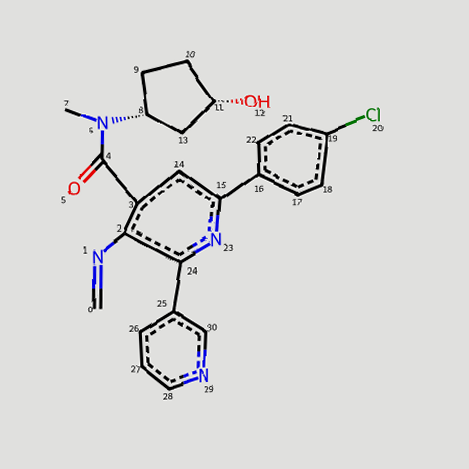 C=Nc1c(C(=O)N(C)[C@@H]2CC[C@H](O)C2)cc(-c2ccc(Cl)cc2)nc1-c1cccnc1